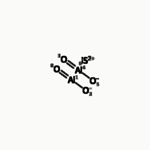 [O]=[Al][O-].[O]=[Al][O-].[S+2]